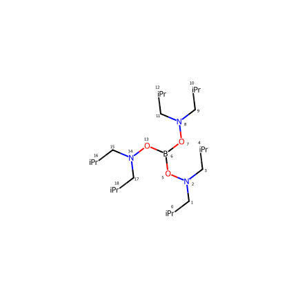 CC(C)CN(CC(C)C)OB(ON(CC(C)C)CC(C)C)ON(CC(C)C)CC(C)C